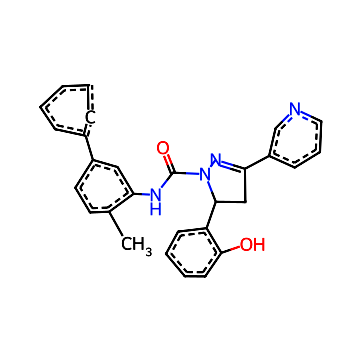 Cc1ccc(-c2ccccc2)cc1NC(=O)N1N=C(c2cccnc2)CC1c1ccccc1O